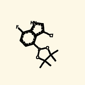 CC1(C)OB(c2ccc(F)c3[nH]cc(Cl)c23)OC1(C)C